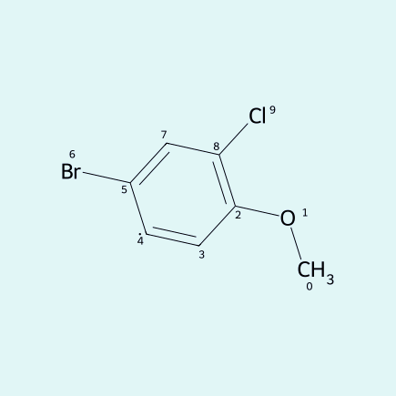 COc1c[c]c(Br)cc1Cl